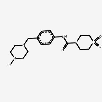 CCN1CCN(Cc2ccc(NC(=O)N3CCS(=O)(=O)CC3)cc2)CC1